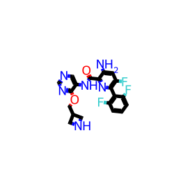 Nc1cc(F)c(-c2c(F)cccc2F)nc1C(=O)Nc1cncnc1OCC1CNC1